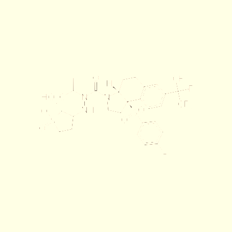 CC(C(=O)O)N(NC1CCS(=O)(=O)C1)C(=O)N1CC[C@@]2(S(=O)(=O)c3ccc(F)cc3)c3ccc(C(F)(C(F)(F)F)C(F)(F)F)cc3CC[C@@H]12